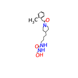 Cc1ccccc1CC(=O)N1CCC(CCCCNC(=O)NCO)CC1